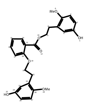 COc1ccc(O)cc1CCOC(=O)c1ccccc1OCCc1cc(O)ccc1OC